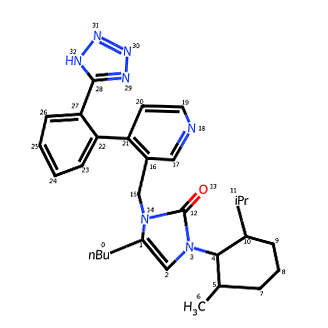 CCCCc1cn(C2C(C)CCCC2C(C)C)c(=O)n1Cc1cnccc1-c1ccccc1-c1nnn[nH]1